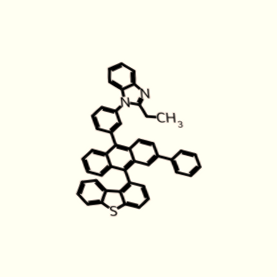 CCc1nc2ccccc2n1-c1cccc(-c2c3ccccc3c(-c3cccc4sc5ccccc5c34)c3cc(-c4ccccc4)ccc23)c1